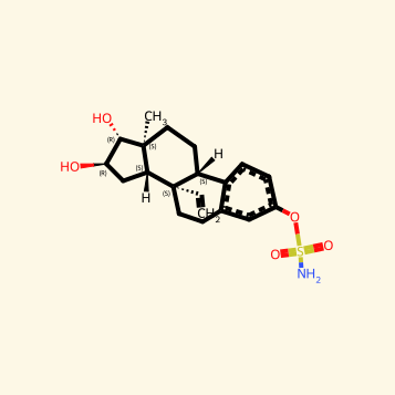 C=C[C@@]12CCc3cc(OS(N)(=O)=O)ccc3[C@H]1CC[C@@]1(C)[C@H]2C[C@@H](O)[C@@H]1O